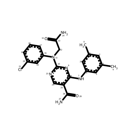 Cc1cc(C)cc(Nc2nc(N(CC(N)=O)c3cccc(Cl)c3)ncc2C(N)=O)c1